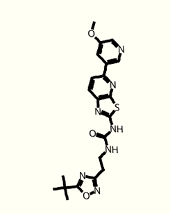 COc1cncc(-c2ccc3nc(NC(=O)NCCc4noc(C(C)(C)C)n4)sc3n2)c1